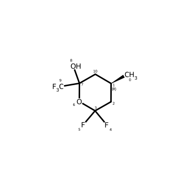 C[C@H]1CC(F)(F)OC(O)(C(F)(F)F)C1